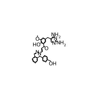 COc1cc(Cc2cnc(N)nc2N)cc(C(=O)/C=C/N2N=Cc3ccccc3C2c2ccc(CO)cc2)c1O